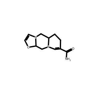 NC(=O)C1=CN2CC3OC=CN3CC2CC1